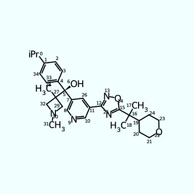 CC(C)c1ccc([C@](O)(c2cncc(-c3noc(C(C)(C)C4CCOCC4)n3)c2)C2(C)CN(C)C2)cc1